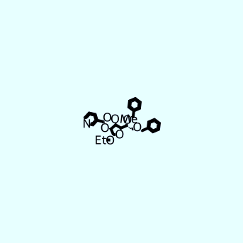 CCOC1O[C@H]([C@@H](COCc2ccccc2)OCc2ccccc2)[C@H](OC)[C@H]1OC(=O)c1cccnc1